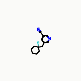 N#Cc1cncc(CC2(F)CCCCC2)c1